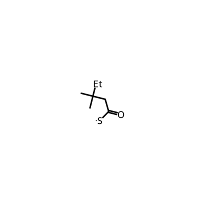 CCC(C)(C)CC(=O)[S]